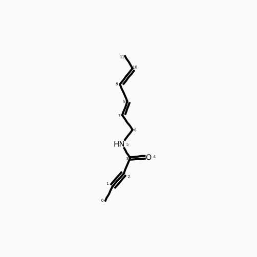 CC#CC(=O)NC/C=C/C=C/C